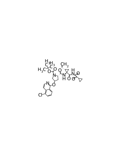 C=C[C@@H]1C[C@]1(NC(=O)[C@@H]1C[C@@H](Oc2nccc3c(Cl)cccc23)CN1C(=O)OC(C)(C)C)C(=O)NS(=O)(=O)C1CC1